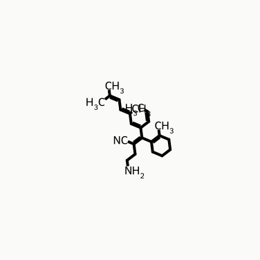 C\C=C/C(=C\C(C)=C\C=C(C)C)C(/C1=C(C)CCCC1)=C(\C#N)CCN